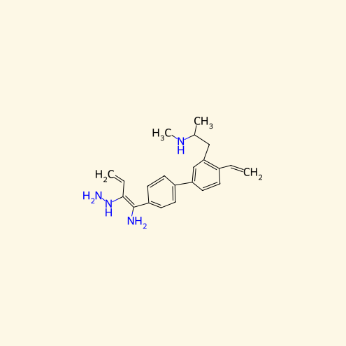 C=C/C(NN)=C(/N)c1ccc(-c2ccc(C=C)c(CC(C)NC)c2)cc1